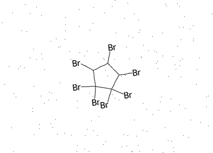 BrC1C(Br)C(Br)(Br)C(Br)(Br)C1Br